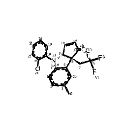 Cc1cccc([C@@]2(CC(F)(F)F)C(=O)C=C[C@H]2Nc2ccccc2Cl)c1